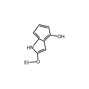 CCOc1cc2c(O)cccc2[nH]1